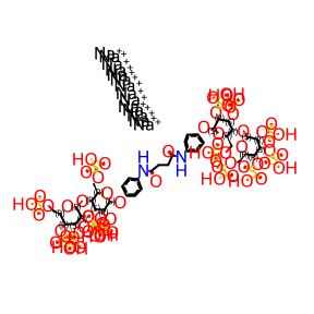 O=C(CCC(=O)Nc1ccc(O[C@@H]2O[C@H](COS(=O)(=O)O)[C@@H](O[C@@H]3O[C@H](COS(=O)(=O)O)[C@@H](OS(=O)(=O)O)[C@H](OS(=O)(=O)O)[C@H]3OS(=O)(=O)O)[C@H](OS(=O)(=O)O)[C@H]2OS(=O)(=O)O)cc1)Nc1ccc(O[C@@H]2O[C@H](COS(=O)(=O)O)[C@@H](O[C@@H]3O[C@H](COS(=O)(=O)O)[C@@H](OS(=O)(=O)O)[C@H](OS(=O)(=O)O)[C@H]3OS(=O)(=O)O)[C@H](OS(=O)(=O)O)[C@H]2OS(=O)(=O)O)cc1.[Na+].[Na+].[Na+].[Na+].[Na+].[Na+].[Na+].[Na+].[Na+].[Na+].[Na+].[Na+].[Na+].[Na+]